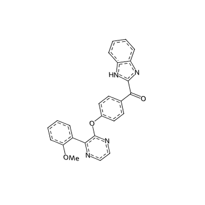 COc1ccccc1-c1nccnc1Oc1ccc(C(=O)c2nc3ccccc3[nH]2)cc1